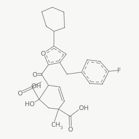 CC1(C(=O)O)C=CC(C(=O)c2oc(C3CCCCC3)cc2Cc2ccc(F)cc2)C(O)(C(=O)O)C1